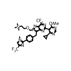 COc1ncnc(C2CC2)c1-c1nc(C(F)(F)F)c2nn(COCC[Si](C)(C)C)c(Cc3ccc(-c4nc(C(F)(F)F)cn4C)cc3)c2n1